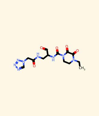 CCN1CCN(C(=O)NC([C]=O)CNC(=O)Cn2cnnn2)C(=O)C1=O